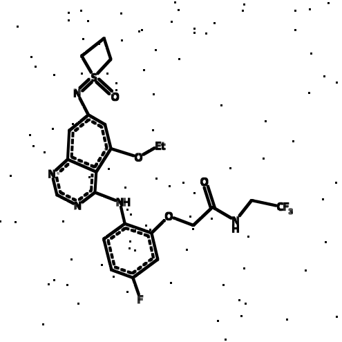 CCOc1cc(N=S2(=O)CCC2)cc2ncnc(Nc3ccc(F)cc3OCC(=O)NCC(F)(F)F)c12